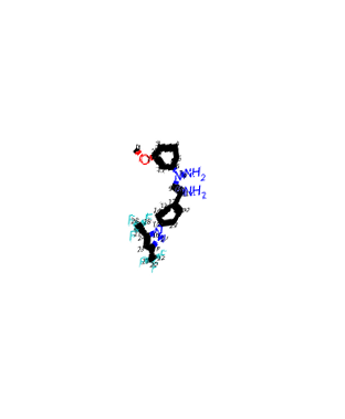 COc1cccc(N(N)/C=C(\N)c2ccc(-n3nc(C(F)(F)F)cc3C(F)(F)F)cc2)c1